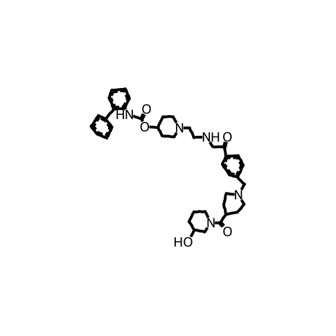 O=C(Nc1ccccc1-c1ccccc1)OC1CCN(CCNCC(=O)c2ccc(CN3CCC(C(=O)N4CCCC(O)C4)CC3)cc2)CC1